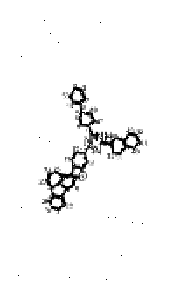 c1ccc(-c2ccc(C3N=C(c4ccc5c(c4)oc4cc6c7c(cccc7c45)-c4ccccc4-6)N=C(c4ccc5ccccc5c4)N3)cc2)cc1